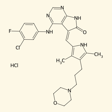 Cc1[nH]c(C=C2C(=O)Nc3ncnc(Nc4ccc(F)c(Cl)c4)c32)c(C)c1CCCN1CCOCC1.Cl